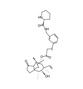 C=C[C@]1(C)C[C@@H](OC(=O)CSc2cccc(CNC(=O)[C@@H]3CCCCN3)c2)[C@]2(C)C(C)CCC3(CCC(=O)C32)[C@@H](C)[C@@H]1O